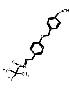 COc1ccc(COc2ccc(C/C=N/[S+]([O-])C(C)(C)C)cc2)cc1